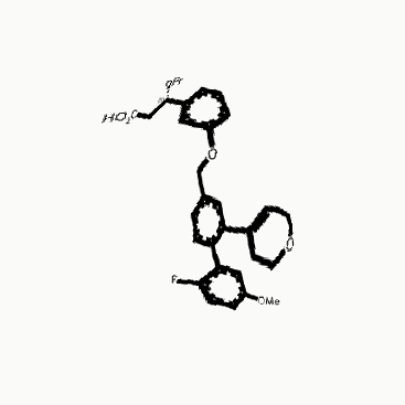 CCC[C@@H](CC(=O)O)c1cccc(OCc2ccc(-c3cc(OC)ccc3F)c(C3=CCOCC3)c2)c1